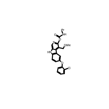 COCc1c(OC(=O)NC(C)C)ncc2[nH]c3ccc(Oc4ccccc4Cl)cc3c12